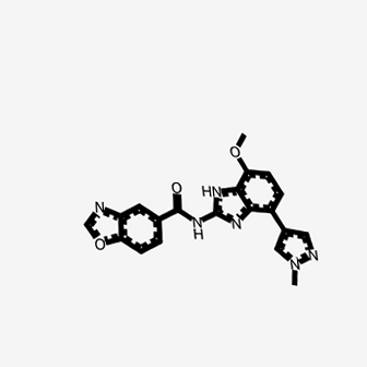 COc1ccc(-c2cnn(C)c2)c2nc(NC(=O)c3ccc4ocnc4c3)[nH]c12